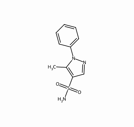 Cc1c(S(N)(=O)=O)cnn1-c1ccccc1